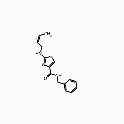 C/C=C\CNc1nc(C(=O)NCc2ccccc2)cs1